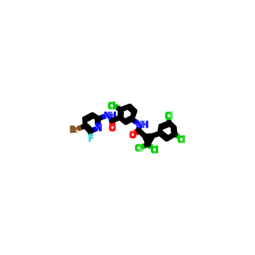 O=C(Nc1ccc(Br)c(F)n1)c1cc(NC(=O)C2C(c3cc(Cl)cc(Cl)c3)C2(Cl)Cl)ccc1Cl